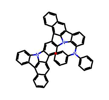 c1ccc(N(c2ccccc2)c2cccc3c4cc5ccccc5c5c6cc7c(cc6n(c23)c45)c2cc3ccccc3c3c4ccccc4n7c23)cc1